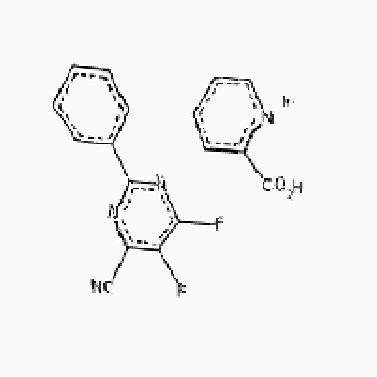 N#Cc1nc(-c2ccccc2)nc(F)c1F.O=C(O)c1ccccn1.[Ir]